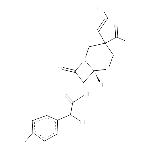 CC=CC1(C(=O)O)CS[C@@H]2[C@H](NC(=O)C(N)c3ccc(O)cc3)C(=O)N2C1